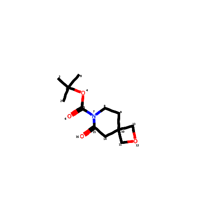 CC(C)(C)OC(=O)N1CCC2(COC2)CC1=O